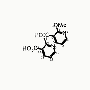 COc1ncccc1C(=O)O.Cc1ncccc1C(=O)O